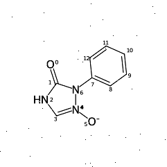 O=c1[nH]c[n+]([O-])n1-c1ccccc1